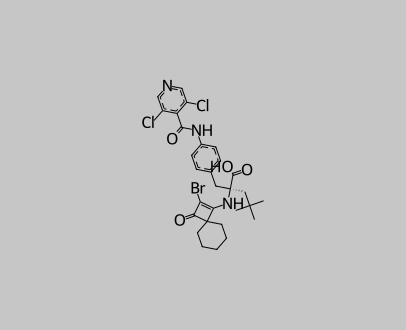 CC(C)(C)C[C@@](Cc1ccc(NC(=O)c2c(Cl)cncc2Cl)cc1)(NC1=C(Br)C(=O)C12CCCCC2)C(=O)O